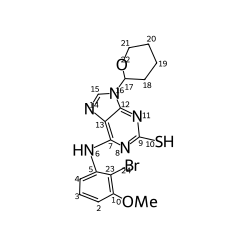 COc1cccc(Nc2nc(S)nc3c2ncn3C2CCCCO2)c1Br